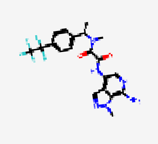 C[C@H](c1ccc(C(F)(F)C(F)(F)F)cc1)N(C)C(=O)C(=O)Nc1cnc(N)c2c1cnn2C